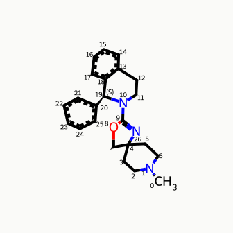 CN1CCC2(CC1)COC(N1CCc3ccccc3[C@@H]1c1ccccc1)=N2